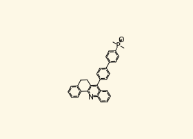 CP(C)(=O)c1ccc(-c2ccc(-c3c4c(nc5ccccc35)-c3ccccc3CC4)cc2)cc1